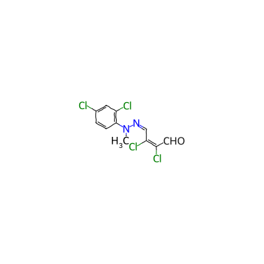 CN(/N=C\C(Cl)=C(\Cl)C=O)c1ccc(Cl)cc1Cl